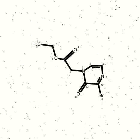 CCOC(=O)Cn1ccnc(Br)c1=O